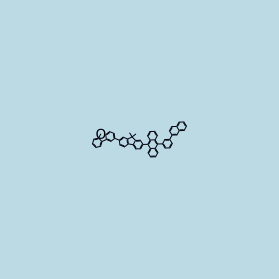 CC1(C)c2cc(-c3ccc4oc5ccccc5c4c3)ccc2-c2ccc(-c3c4ccccc4c(-c4cccc(-c5ccc6ccccc6c5)c4)c4ccccc34)cc21